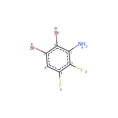 Nc1c(F)c(F)cc(Br)c1Br